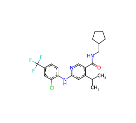 CC(C)c1cc(Nc2ccc(C(F)(F)F)cc2Cl)ncc1C(=O)NCC1CCCC1